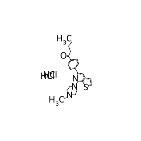 CCCCC(=O)c1ccc(-c2cc3ccsc3c(N3CCN(CC)CC3)n2)cc1.Cl.Cl